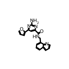 Nc1nc(C(=O)NCc2cccc3cccnc23)cc(-c2ccco2)n1